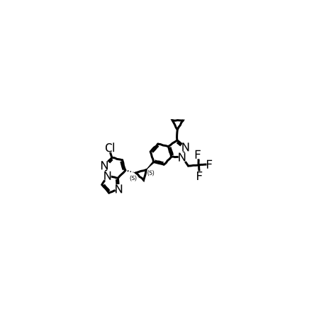 FC(F)(F)Cn1nc(C2CC2)c2ccc([C@H]3C[C@@H]3c3cc(Cl)nn4ccnc34)cc21